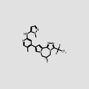 Cc1cnc(Nc2ccnn2C)cc1-c1cc2n(c1)C[C@H](F)Cn1c-2nnc1C(F)(F)C(F)(F)F